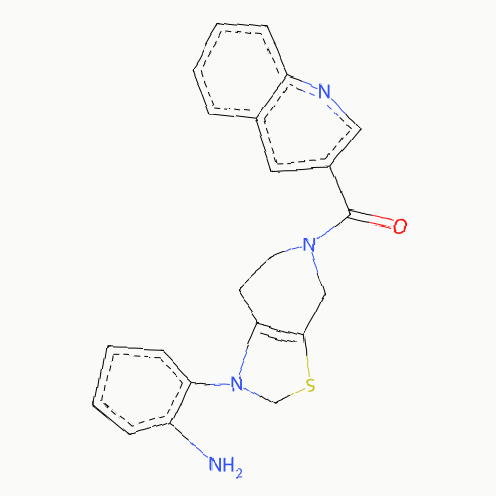 Nc1ccccc1N1CSC2=C1CCN(C(=O)c1cnc3ccccc3c1)C2